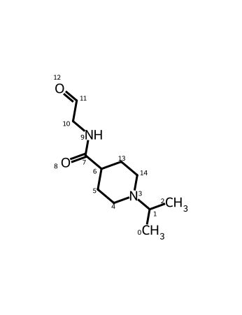 CC(C)N1CCC(C(=O)NCC=O)CC1